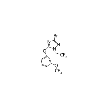 FC(F)(F)Cn1nc(Br)nc1Oc1cccc(OC(F)(F)F)c1